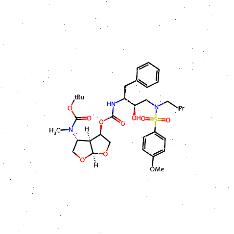 COc1ccc(S(=O)(=O)N(CC(C)C)C[C@@H](O)[C@H](Cc2ccccc2)NC(=O)O[C@H]2CO[C@H]3OC[C@H](N(C)C(=O)OC(C)(C)C)[C@H]32)cc1